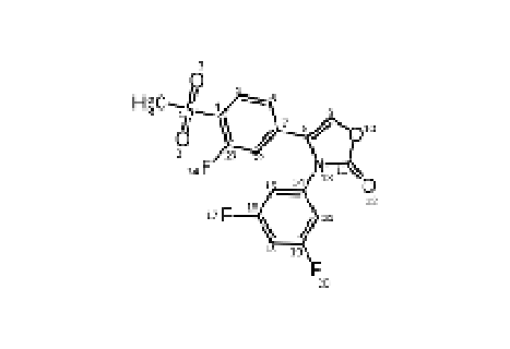 CS(=O)(=O)c1ccc(-c2coc(=O)n2-c2cc(F)cc(F)c2)cc1F